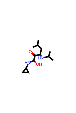 CC(C)CC(NC(C)C)C(=O)C(O)NC1CC1